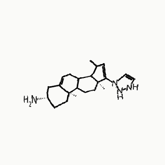 CC1C=C(N2C=CNN2)[C@@]2(C)CCC3C(CC=C4C[C@@H](N)CC[C@@]43C)C12